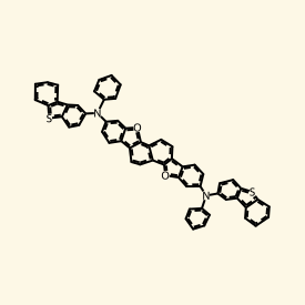 c1ccc(N(c2ccc3c(c2)oc2c3ccc3c2ccc2c4ccc(N(c5ccccc5)c5ccc6sc7ccccc7c6c5)cc4oc23)c2ccc3sc4ccccc4c3c2)cc1